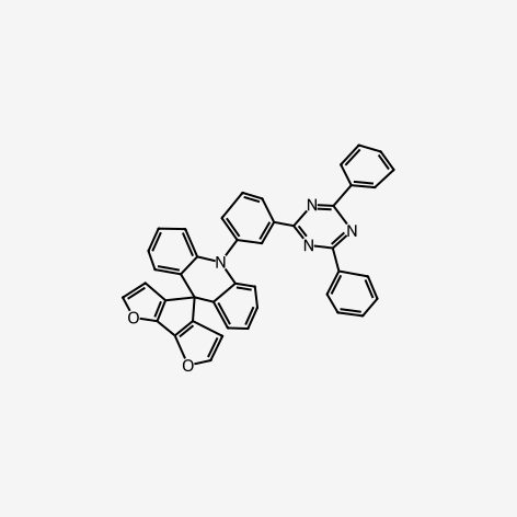 c1ccc(-c2nc(-c3ccccc3)nc(-c3cccc(N4c5ccccc5C5(c6ccccc64)c4ccoc4-c4occc45)c3)n2)cc1